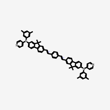 Cc1cc(C)cc(N(c2ccncc2)c2ccc3c(c2)C(C)(C)c2cc(/C=C/c4ccc(/C=C/c5ccc6c(c5)C(C)(C)c5cc(N(c7ccncc7)c7cc(C)cc(C)c7)ccc5-6)cc4)ccc2-3)c1